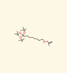 C=C(C)COCCCCCCCC[Si](O[Si](C)(C)C)(O[Si](C)(C)C)O[Si](C)(C)C